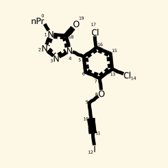 CCCn1nnn(-c2cc(OCC#CI)c(Cl)cc2Cl)c1=O